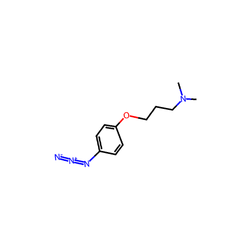 CN(C)CCCOc1ccc(N=[N+]=[N-])cc1